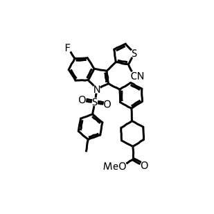 COC(=O)C1CCC(c2cccc(-c3c(-c4ccsc4C#N)c4cc(F)ccc4n3S(=O)(=O)c3ccc(C)cc3)c2)CC1